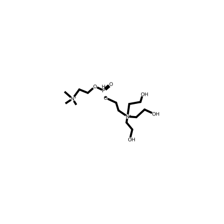 C[N+](C)(C)CCO[PH](=O)OCC[N+](CCO)(CCO)CCO